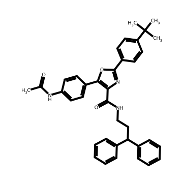 CC(=O)Nc1ccc(-c2oc(-c3ccc(C(C)(C)C)cc3)nc2C(=O)NCCC(c2ccccc2)c2ccccc2)cc1